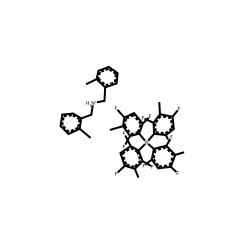 Cc1c(F)cc(F)c([B-](c2c(F)cc(F)c(C)c2F)(c2c(F)cc(F)c(C)c2F)c2c(F)cc(F)c(C)c2F)c1F.Cc1ccccc1C[NH2+]Cc1ccccc1C